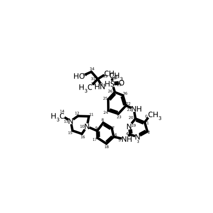 Cc1cnc(Nc2ccc(N3CCN(C)CC3)cc2)nc1Nc1cccc([SH](C)(=O)NC(C)(C)CO)c1